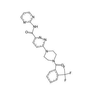 O=C(Nc1ncccn1)c1ccc(N2CCN(C(=O)c3ccccc3C(F)(F)F)CC2)nn1